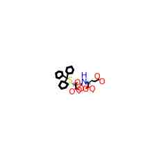 COC(=O)CC[C@H](NC(=O)O[C@@H](CSC(c1ccccc1)(c1ccccc1)c1ccccc1)C(=O)OC)C(=O)OC